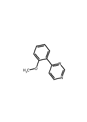 COc1ccccc1-c1c[c]ncn1